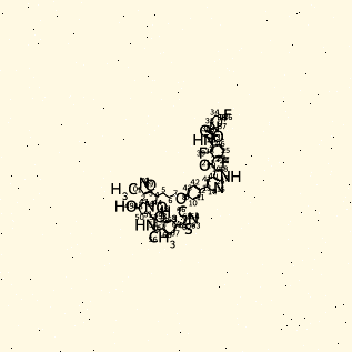 Cc1cc(C(CCCOc2ccc(-c3cnc4[nH]cc(C(=O)c5c(F)ccc(NS(=O)(=O)N6CC[C@@H](F)C6)c5F)c4c3)cc2)C(=O)N2CC(O)CC2C(=O)NC(C)c2ccc(-c3scnc3C)cc2)on1